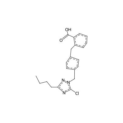 CCCCc1nc(Cl)n(Cc2ccc(Cc3ccccc3C(=O)O)cc2)n1